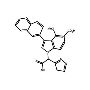 COc1c(C(=O)O)ccc2c1c(-c1ccc3ccccc3c1)nn2C(C(N)=O)c1nccs1